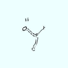 O=P(=O)F.[Li]